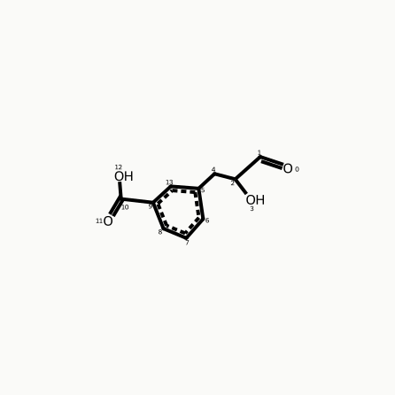 O=CC(O)Cc1cccc(C(=O)O)c1